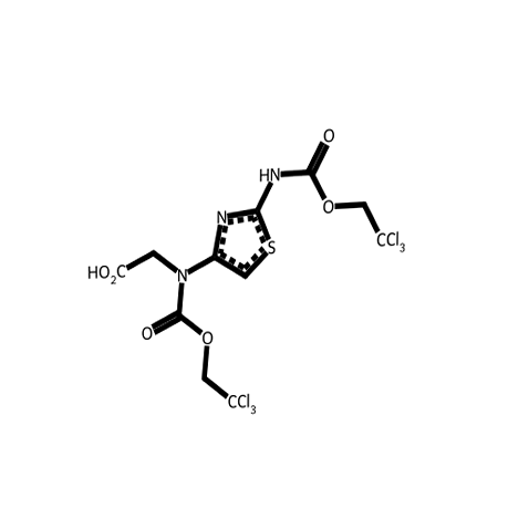 O=C(O)CN(C(=O)OCC(Cl)(Cl)Cl)c1csc(NC(=O)OCC(Cl)(Cl)Cl)n1